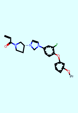 C=CC(=O)N1CC[C@@H](N2C=CN(c3ccc(Oc4cccc(OC(C)C)c4)c(F)c3)C2)C1